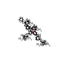 C[C@H](n1c([C@@H](C)OC2CCCCO2)nc2cnc(N(c3ccnc(OCC(C)(C)S(C)(=O)=O)n3)[C@@](C)(O)c3nc4cnc(Nc5ccnc(OCC(C)(C)S(C)(=O)=O)n5)cc4n3[C@@H](C)C(F)(F)F)cc21)C(F)(F)F